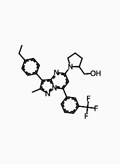 CCc1ccc(-c2c(C)nn3c(-c4cccc(C(F)(F)F)c4)cc(N4CCCC4CO)nc23)cc1